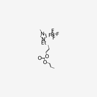 CC=COC(=O)OC=CC.CCN1C=CN(C)C1.F[B-](F)(F)F